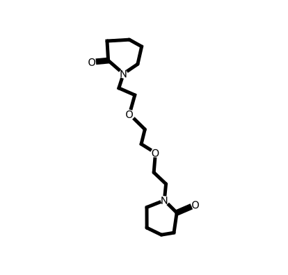 O=C1CCCCN1CCOCCOCCN1CCCCC1=O